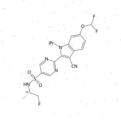 CC(C)n1c(-c2ncc(S(=O)(=O)N[C@@H](C)CF)cn2)c(C#N)c2ccc(OC(F)F)cc21